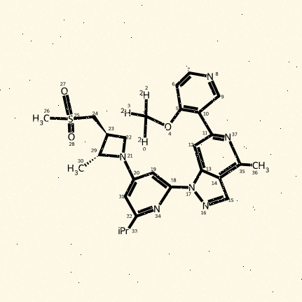 [2H]C([2H])([2H])Oc1ccncc1-c1cc2c(cnn2-c2cc(N3C[C@H](CS(C)(=O)=O)[C@H]3C)cc(C(C)C)n2)c(C)n1